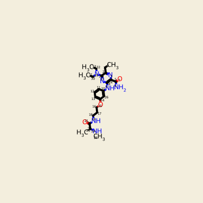 CCc1nc(C(N)=O)c(Nc2cccc(OCCCNC(=O)[C@H](C)NC)c2)nc1N(CC)CC